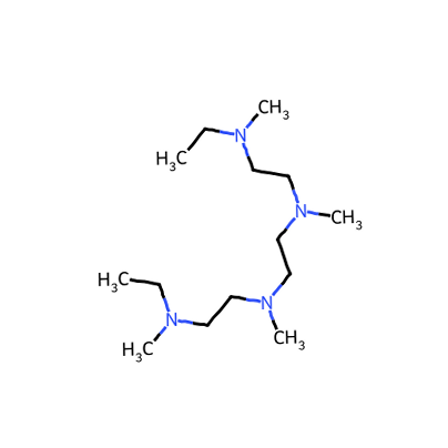 CCN(C)CCN(C)CCN(C)CCN(C)CC